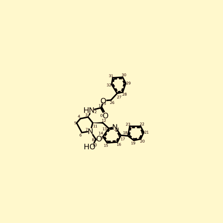 O=C(N[C@@H]1CCCN(C(=O)O)[C@@H]1Cc1cccc(-c2ccccc2)n1)OCc1ccccc1